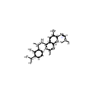 Cc1nc(N[C@H](C)c2cccc(C(F)F)c2F)c2cc(Br)c(/N=C\N(C)C)nc2n1